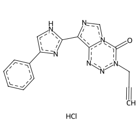 C#CCn1nnc2c(-c3nc(-c4ccccc4)c[nH]3)ncn2c1=O.Cl